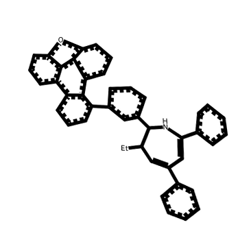 CCC1C=C(c2ccccc2)C=C(c2ccccc2)NC1c1cccc(-c2cccc3c4cccc5oc6cccc(c23)c6c54)c1